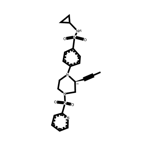 CC#C[C@H]1CN(S(=O)(=O)c2ccccn2)CCN1c1ccc(S(=O)(=O)NC2CC2)cc1